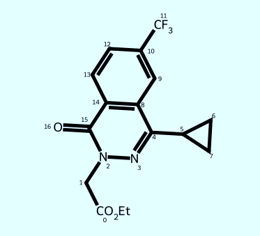 CCOC(=O)Cn1nc(C2CC2)c2cc(C(F)(F)F)ccc2c1=O